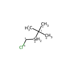 CC(C)(C)[SiH2]CCl